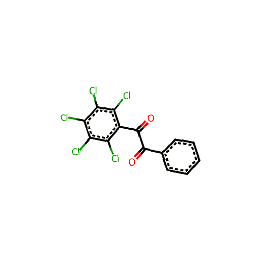 O=C(C(=O)c1c(Cl)c(Cl)c(Cl)c(Cl)c1Cl)c1ccccc1